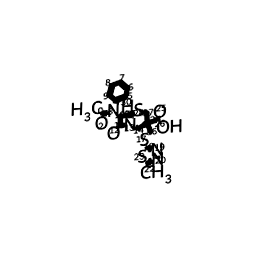 CC(=O)N(c1ccccc1)C1C(=O)N2CC(CSc3nnc(C)s3)(C(=O)O)CS[C@H]12